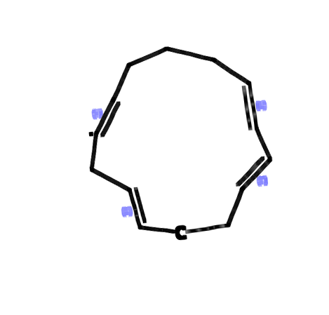 [C]1=C/CCC/C=C/C=C/CC/C=C/C/1